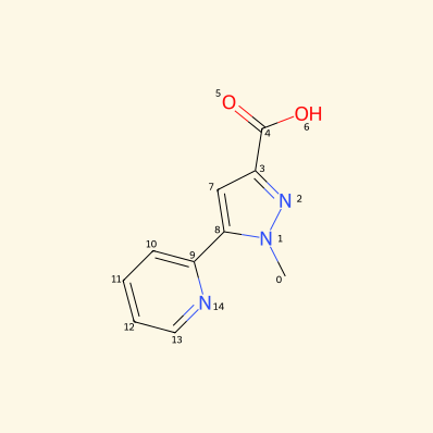 Cn1nc(C(=O)O)cc1-c1ccccn1